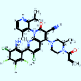 C=CC(=O)N1CCN(c2c(C#N)c(=O)n(-c3c(C)ccnc3C(C)C)c3nc(C4=C(N)C(Cl)C(F)C(F)=C4F)c(Cl)cc23)C[C@H]1C